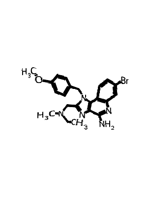 CCN(C)Cc1nc2c(N)nc3cc(Br)ccc3c2n1Cc1ccc(OC)cc1